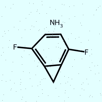 Fc1ccc(F)c2c1C2.N